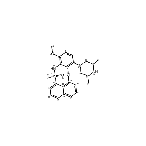 COc1ccc(N2CC(C)NC(C)C2)cc1NS(=O)(=O)c1cccc2cccc(Cl)c12